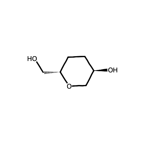 OC[C@@H]1CC[C@@H](O)CO1